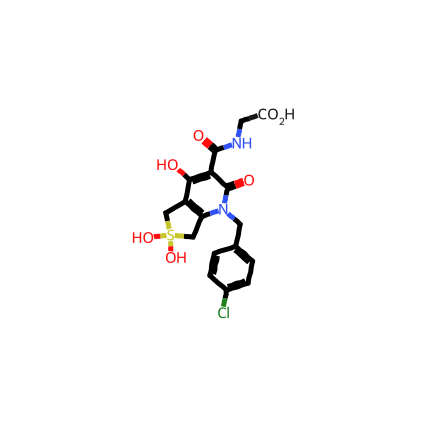 O=C(O)CNC(=O)c1c(O)c2c(n(Cc3ccc(Cl)cc3)c1=O)CS(O)(O)C2